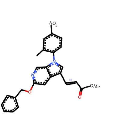 COC(=O)/C=C/c1cn(-c2ccc([N+](=O)[O-])cc2C)c2cnc(OCc3ccccc3)cc12